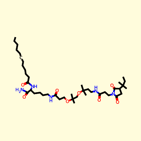 CCCCCCCCCCCC(=O)NC(CCCCNC(=O)CCOC(C)(C)COC(C)(C)CCNC(=O)CCN1C(=O)CC(C(C)(C)CC)C1=O)C(N)=O